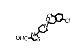 O=Cc1csc(C2CCN(C(=O)Cc3cc(Cl)ccc3Cl)CC2)n1